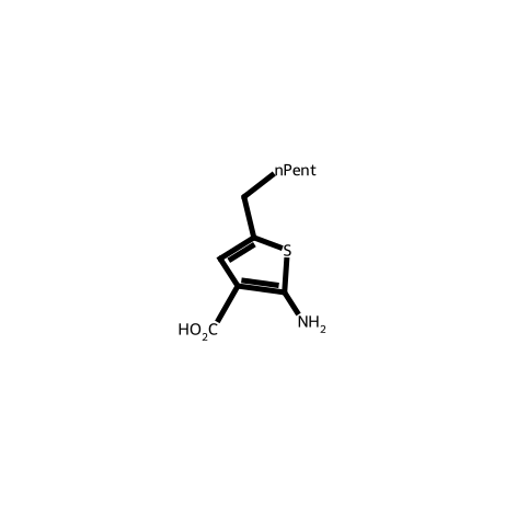 CCCCCCc1cc(C(=O)O)c(N)s1